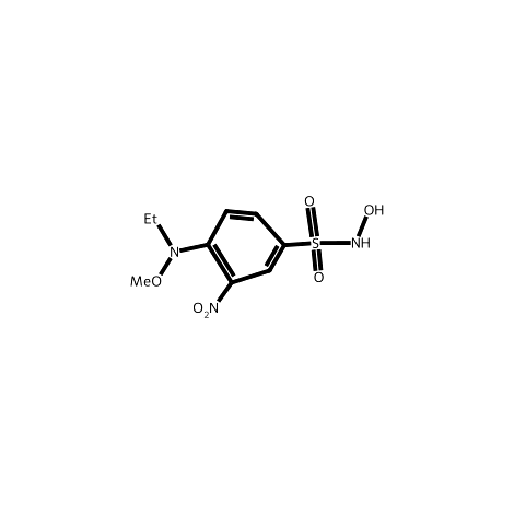 CCN(OC)c1ccc(S(=O)(=O)NO)cc1[N+](=O)[O-]